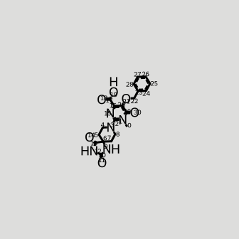 Cn1c(N2CCC3(CC2)NC(=O)NC3=O)nc(C(=O)O)c(OCc2ccccc2)c1=O